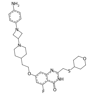 Nc1ccc(N2CC(N3CCC(CCOc4cc(F)c5c(=O)[nH]c(CSC6CCOCC6)nc5c4)CC3)C2)cc1